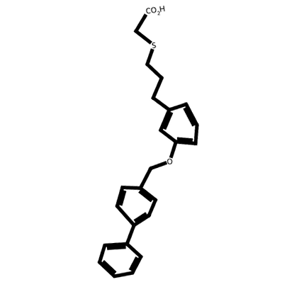 O=C(O)CSCCCc1cccc(OCc2ccc(-c3ccccc3)cc2)c1